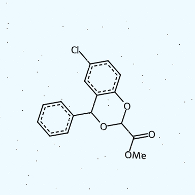 COC(=O)C1Oc2ccc(Cl)cc2C(c2ccccc2)O1